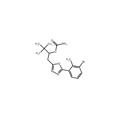 Cc1c(Br)cccc1-c1nnc(CC(OC(N)=O)C(C)(C)C)o1